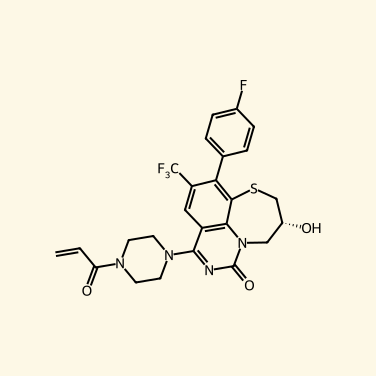 C=CC(=O)N1CCN(c2nc(=O)n3c4c(c(-c5ccc(F)cc5)c(C(F)(F)F)cc24)SC[C@H](O)C3)CC1